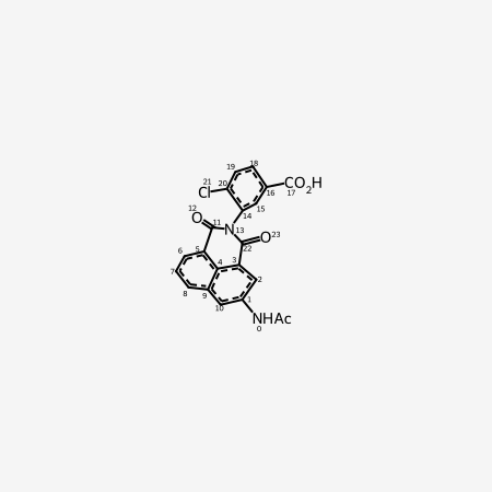 CC(=O)Nc1cc2c3c(cccc3c1)C(=O)N(c1cc(C(=O)O)ccc1Cl)C2=O